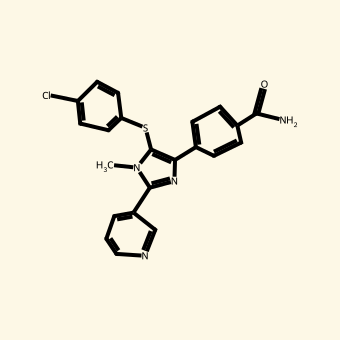 Cn1c(-c2cccnc2)nc(-c2ccc(C(N)=O)cc2)c1Sc1ccc(Cl)cc1